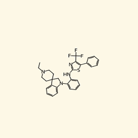 CCN1CCC2(CC1)CN(c1ccccc1Nc1nc(C(F)(F)F)c(-c3ccccc3)s1)c1ccccc12